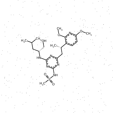 COc1ccc([C@@H](C)Cc2nc(N[C@@H](CO)CC(C)C)nc(NS(C)(=O)=O)n2)c(OC)n1